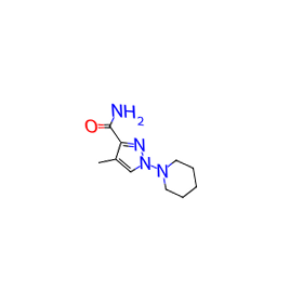 Cc1cn(N2CCCCC2)nc1C(N)=O